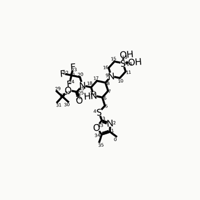 Cc1nc(SCC2CC(N3CCS(O)(O)CC3)CC(N(CC(F)(F)F)C(=O)OC(C)(C)C)N2)oc1C